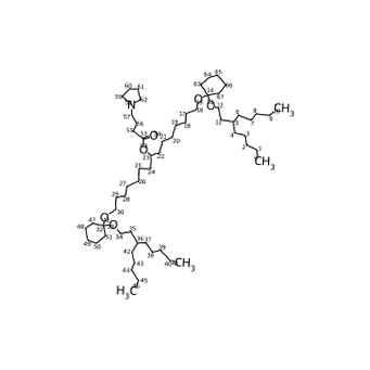 CCCCCC(CCCCC)CCOC1(OCCCCCCCC(CCCCCCCOC2(OCCC(CCCCC)CCCCC)CCCCC2)OC(=O)CCCN2CCCC2)CCCCC1